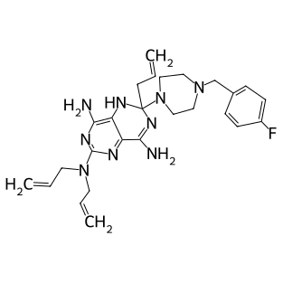 C=CCN(CC=C)c1nc(N)c2c(n1)C(N)=NC(CC=C)(N1CCN(Cc3ccc(F)cc3)CC1)N2